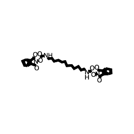 O=C(NCCCCCCCCCCCCNC(=O)ON1C(=O)C2C3C=CC(C3)C2C1=O)ON1C(=O)C2C3C=CC(C3)C2C1=O